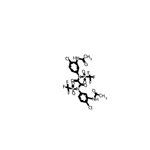 CC(=O)Nc1cc(N(C(=O)C(=O)N(c2ccc(Cl)c(NC(C)=O)c2)S(=O)(=O)C(F)(F)F)S(=O)(=O)C(F)(F)F)ccc1Cl